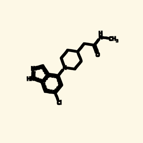 CNC(=O)CC1CCN(c2cc(Cl)cc3[nH]ncc23)CC1